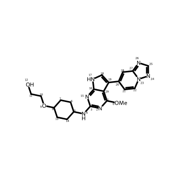 COc1nc(NC2CCC(OCCO)CC2)nc2[nH]cc(-c3ccn4ncnc4c3)c12